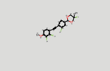 CCCC1(F)COC(c2ccc(C#Cc3ccc(OCC)c(F)c3F)c(F)c2)OC1